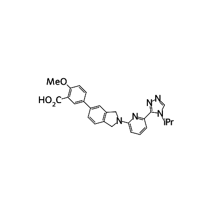 COc1ccc(-c2ccc3c(c2)CN(c2cccc(-c4nncn4C(C)C)n2)C3)cc1C(=O)O